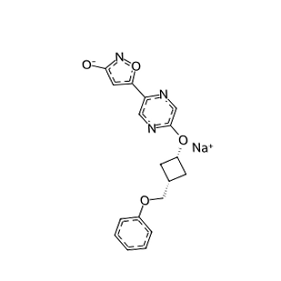 [Na+].[O-]c1cc(-c2cnc(O[C@H]3C[C@@H](COc4ccccc4)C3)cn2)on1